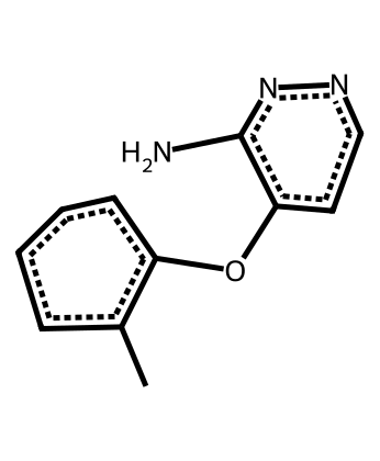 Cc1ccccc1Oc1ccnnc1N